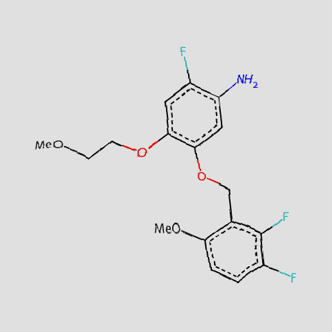 COCCOc1cc(F)c(N)cc1OCc1c(OC)ccc(F)c1F